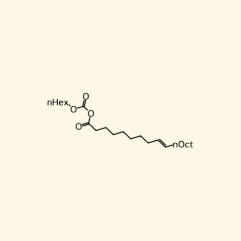 CCCCCCCCC=CCCCCCCCC(=O)OC(=O)OCCCCCC